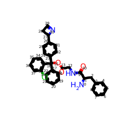 NC(Cc1ccccc1)C(=O)NCC(=O)OC(c1ccccc1)(c1ccc(C2CC=N2)cc1)c1ccccc1Cl